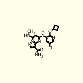 CNc1cc(Nc2cc(Cl)cnc2OC2CCC2)nc2c(C(N)=O)cnn12